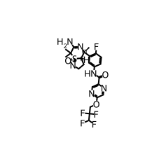 CC1(C)C(N)=N[C@](C)(c2cc(NC(=O)c3cnc(OCC(F)(F)C(F)F)cn3)ccc2F)[C@@H]2CCN=S21=O